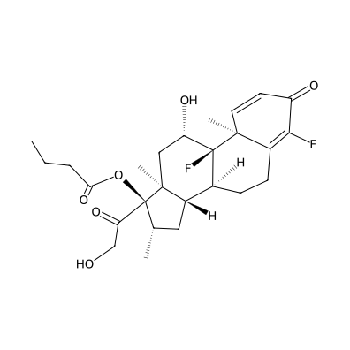 CCCC(=O)O[C@]1(C(=O)CO)[C@@H](C)C[C@H]2[C@@H]3CCC4=C(F)C(=O)C=C[C@]4(C)[C@@]3(F)[C@@H](O)C[C@@]21C